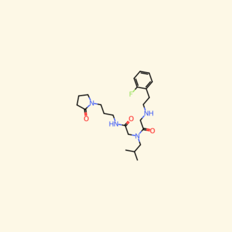 CC(C)CN(CC(=O)NCCCN1CCCC1=O)C(=O)CNCCc1ccccc1F